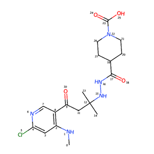 CNc1cc(Cl)ncc1C(=O)CC(C)(C)NNC(=O)C1CCN(C(=O)O)CC1